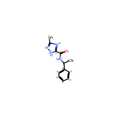 CCCc1n[nH]c(C(=O)NC(C#N)c2ccccc2)n1